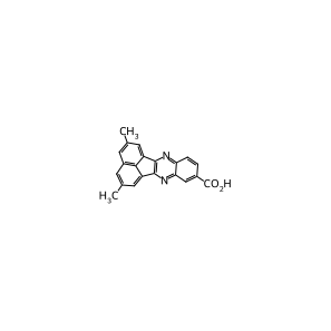 Cc1cc2c3c(cc(C)cc3c1)-c1nc3cc(C(=O)O)ccc3nc1-2